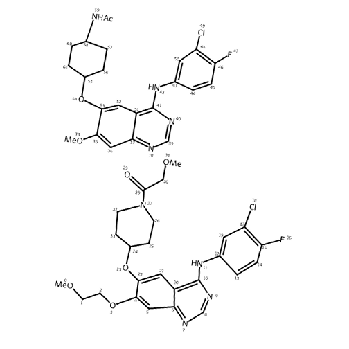 COCCOc1cc2ncnc(Nc3ccc(F)c(Cl)c3)c2cc1OC1CCN(C(=O)COC)CC1.COc1cc2ncnc(Nc3ccc(F)c(Cl)c3)c2cc1OC1CCC(NC(C)=O)CC1